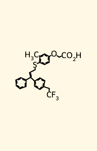 Cc1cc(OCC(=O)O)ccc1SCC=C(c1ccccc1)c1ccc(CC(F)(F)F)cc1